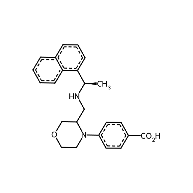 C[C@@H](NCC1COCCN1c1ccc(C(=O)O)cc1)c1cccc2ccccc12